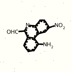 Nc1cccc2c(C=O)nc3ccc([N+](=O)[O-])cc3c12